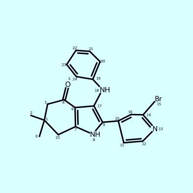 CC1(C)CC(=O)c2c([nH]c(-c3ccnc(Br)c3)c2Nc2ccccc2)C1